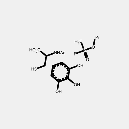 CC(=O)NC(CS)C(=O)O.CC(C)OP(C)(=O)F.Oc1cccc(O)c1O